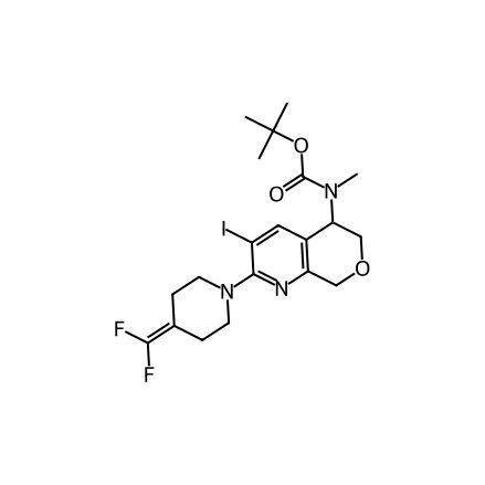 CN(C(=O)OC(C)(C)C)C1COCc2nc(N3CCC(=C(F)F)CC3)c(I)cc21